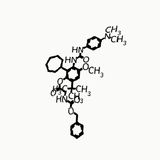 COc1cc(C(C)(C)C)c(OC(=O)CNC(=O)OCc2ccccc2)c(C2CCCCCC2)c1NC(=O)Nc1ccc(N(C)C)cc1